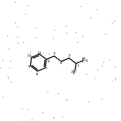 FC(F)C[CH]Cc1ccccc1